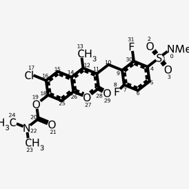 CNS(=O)(=O)c1ccc(F)c(Cc2c(C)c3cc(Cl)c(OC(=O)N(C)C)cc3oc2=O)c1F